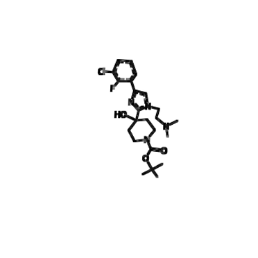 CN(C)CCn1cc(-c2cccc(Cl)c2F)nc1C1(O)CCN(C(=O)OC(C)(C)C)CC1